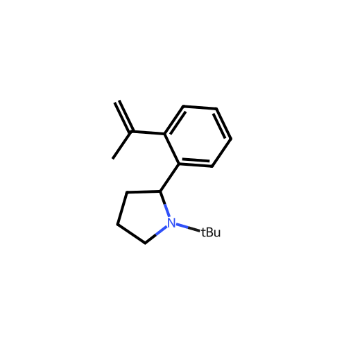 C=C(C)c1ccccc1C1CCCN1C(C)(C)C